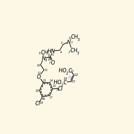 CN(C)CCNC(=O)N(C)CCOc1cc(Cl)cc(Cl)c1.O=C(O)/C=C\C(=O)O